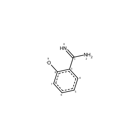 N=C(N)c1ccccc1[O]